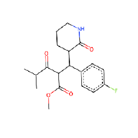 COC(=O)C(C(=O)C(C)C)C(c1ccc(F)cc1)C1CCCNC1=O